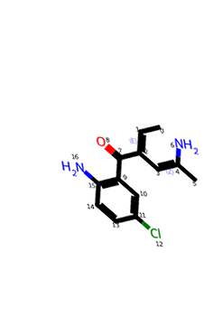 C/C=C(\C=C(\C)N)C(=O)c1cc(Cl)ccc1N